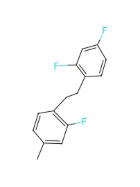 Cc1ccc(CCc2ccc(F)cc2F)c(F)c1